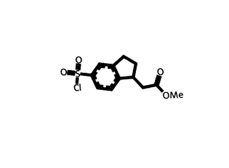 COC(=O)CC1CCc2cc(S(=O)(=O)Cl)ccc21